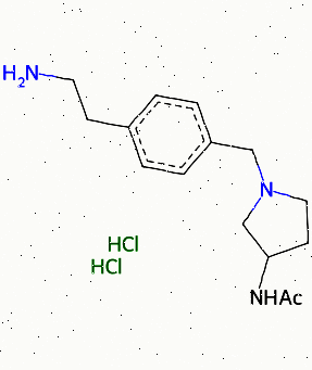 CC(=O)NC1CCN(Cc2ccc(CCN)cc2)C1.Cl.Cl